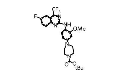 COc1cc(N2CCN(C(=O)OC(C)(C)C)CC2)ccc1Nc1nc(C(F)(F)F)c2cc(F)ccc2n1